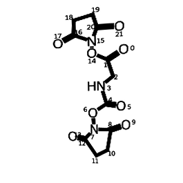 O=C(CNC(=O)ON1C(=O)CCC1=O)ON1C(=O)CCC1=O